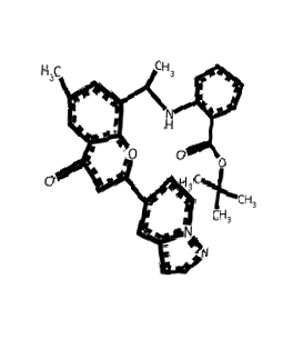 Cc1cc(C(C)Nc2ccccc2C(=O)OC(C)(C)C)c2oc(-c3ccn4nccc4c3)cc(=O)c2c1